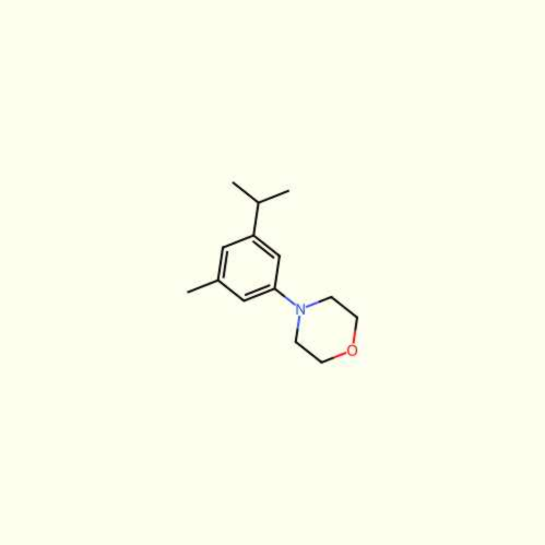 Cc1cc(C(C)C)cc(N2CCOCC2)c1